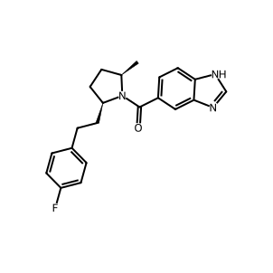 C[C@@H]1CC[C@H](CCc2ccc(F)cc2)N1C(=O)c1ccc2[nH]cnc2c1